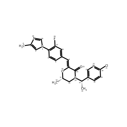 Cc1cn(-c2ccc(C=C3O[C@@H](C)CN([C@@H](C)c4ccc(Cl)nc4)C3=O)cc2F)cn1